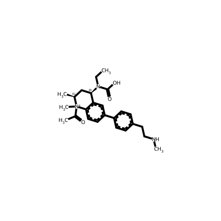 CCN(C(=O)O)[C@@H]1C[C@H](C)[N+](C)(C(C)=O)c2ccc(-c3ccc(CCNC)cc3)cc21